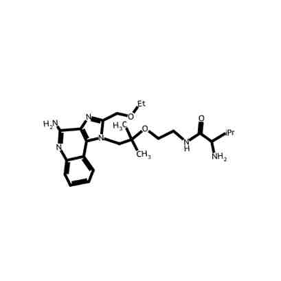 CCOCc1nc2c(N)nc3ccccc3c2n1CC(C)(C)OCCNC(=O)C(N)C(C)C